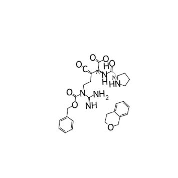 N=C(N)N(CCC(=C=O)[C@H](NC(=O)[C@@H]1CCCN1)C(=O)O)C(=O)OCc1ccccc1.c1ccc2c(c1)CCOC2